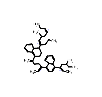 C=C(CC/C(=C\C)C1=CC=C(/C(=C/C)CC(C)CC)C2C=CC=CC12)C1=C2C=CC=CC2C(/C(=C/C(C)C/C=C\CN)CCC)CC1